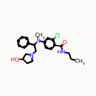 CCCNC(=O)c1ccc(N(C)C(CN2CCC(O)C2)c2ccccc2)cc1Cl